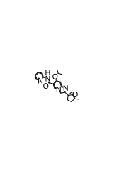 CC(C)Oc1cc2nc(C34CCC(C)(C3)OC4)cn2cc1C(=O)Nc1ccccn1